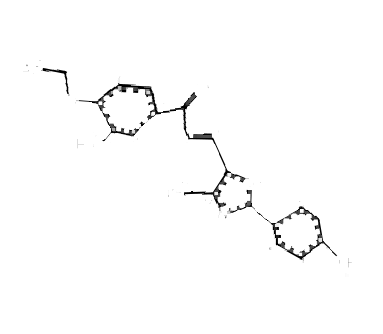 CC(=O)COc1ccc(C(=O)/C=C/c2sc(-c3ccc(C(F)(F)F)cc3)nc2C(C)C)cc1C